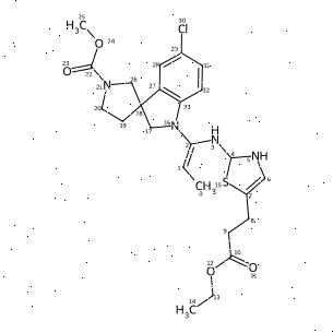 CC=C(NC1NC=C(CCC(=O)OCC)S1)N1CC2(CCN(C(=O)OC)C2)c2cc(Cl)ccc21